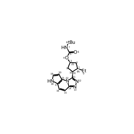 CC[C@@H]1C[C@H](OC(=O)NC(C)(C)C)C[C@@H]1c1nnc2ccc3[nH]ccc3n12